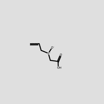 C=CC[S+]([O-])CC(=O)O